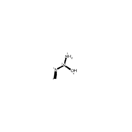 C=NN(N)O